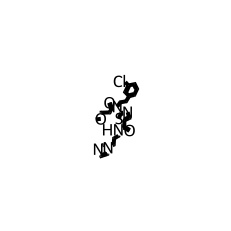 COCCC(=O)N(CCc1cccc(Cl)c1)c1ncc(C(=O)NCCCn2ccnc2)s1